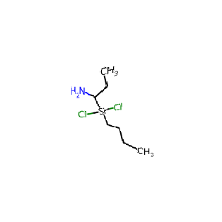 CCCC[Si](Cl)(Cl)C(N)CC